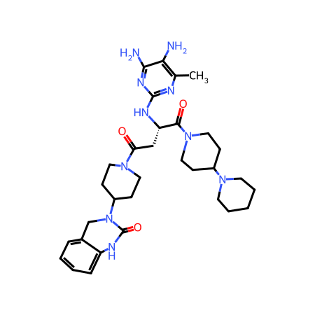 Cc1nc(N[C@@H](CC(=O)N2CCC(N3Cc4ccccc4NC3=O)CC2)C(=O)N2CCC(N3CCCCC3)CC2)nc(N)c1N